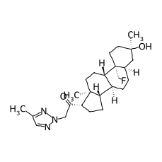 Cc1cnn(CC(=O)[C@H]2CC[C@H]3[C@@H]4CC[C@@H]5C[C@](C)(O)CC[C@]5(CF)[C@H]4CC[C@]23C)n1